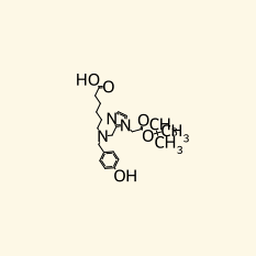 CC(C)(C)OC(=O)Cn1ccnc1CN(CCCCCC(=O)O)Cc1ccc(O)cc1